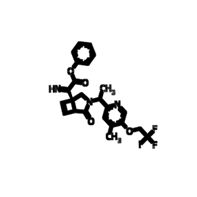 Cc1cc(C(C)N2C[C@@]3(C(=N)C(=O)Oc4ccccc4)C=CC3C2=O)ncc1OCC(F)(F)I